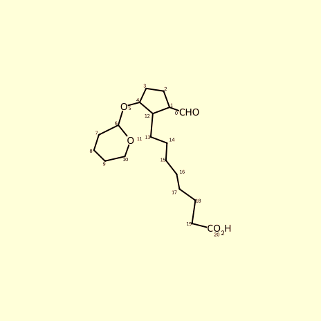 O=CC1CCC(OC2CCCCO2)C1CCCCCCCC(=O)O